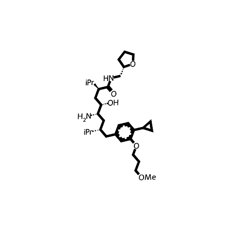 COCCCOc1cc(C[C@@H](C[C@H](N)[C@@H](O)C[C@H](C(=O)NC[C@@H]2CCCO2)C(C)C)C(C)C)ccc1C1CC1